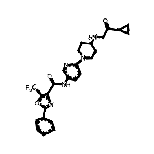 O=C(Nc1ccc(N2CCC(NCC(=O)C3CC3)CC2)nc1)c1nc(-c2ccccc2)oc1C(F)(F)F